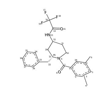 Cc1cc(C)cc(C(=O)N2CCC(NC(=O)C(F)(F)F)C[C@H]2Cc2ccccc2)c1